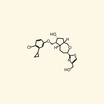 OCc1csc([C@H]2CC[C@H]3[C@@H](CO2)C[C@@H](O)[C@@H]3COc2ccc(Cl)c(C3CC3)c2)n1